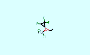 CCO[SiH](Cl)Cl.FC1CC1(F)F